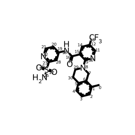 Cc1cccc2c1CN(c1ncc(C(F)(F)F)cc1C(=O)Nc1ccnc(S(N)(=O)=O)c1)CC2